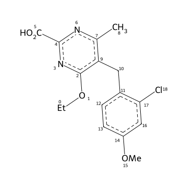 CCOc1nc(C(=O)O)nc(C)c1Cc1ccc(OC)cc1Cl